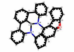 c1ccc(N2B3c4c(cccc4-c4ccccc4N3c3cccc4oc5ccccc5c34)-c3ccccc32)cc1